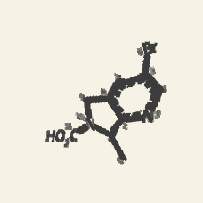 CC1c2ncc(Br)cc2CN1C(=O)O